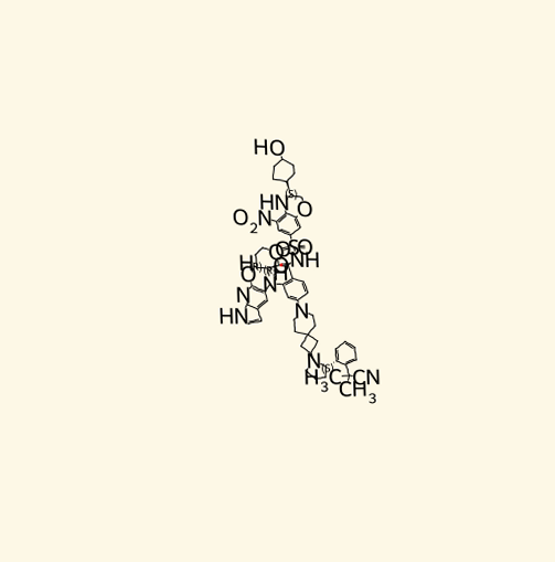 CC(C)(C#N)c1ccccc1[C@@H]1CCCN1C1CC2(CCN(c3ccc(C(=O)NS(=O)(=O)c4cc5c(c([N+](=O)[O-])c4)N[C@@H](C4CCC(O)CC4)CO5)c(N4c5cc6cc[nH]c6nc5O[C@@H]5CCOC[C@H]54)c3)CC2)C1